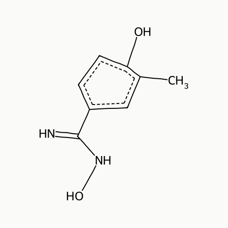 Cc1cc(C(=N)NO)ccc1O